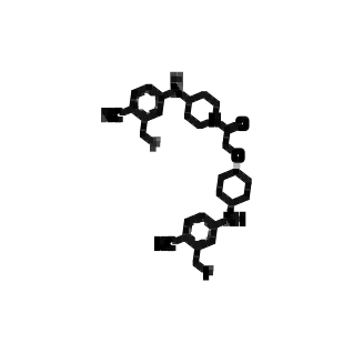 N#Cc1ccc(NC2CCN(C(=O)CO[C@H]3CC[C@H](Nc4ccc(C#N)c(CF)c4)CC3)CC2)cc1CF